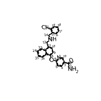 NC(=O)c1ccc(Oc2ccc(CNCc3ccccc3Cl)c3ccccc23)nc1